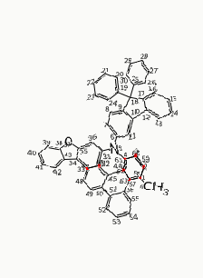 CC1C=CC(N(c2ccc3c(c2)-c2ccccc2C3(c2ccccc2)c2ccccc2)c2ccc3c(c2)oc2ccccc23)=C(c2ccccc2-c2ccccc2-c2ccccc2)C1